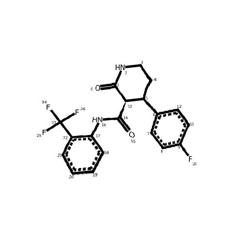 O=C1NCCC(c2ccc(F)cc2)[C@H]1C(=O)Nc1ccccc1C(F)(F)F